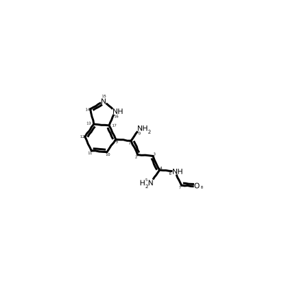 N/C(=C\C=C(/N)NC=O)c1cccc2cn[nH]c12